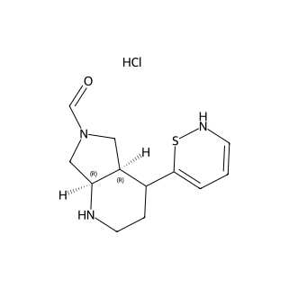 Cl.O=CN1C[C@@H]2NCCC(C3=CC=CNS3)[C@@H]2C1